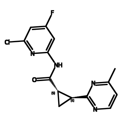 Cc1ccnc([C@H]2C[C@@H]2C(=O)Nc2cc(F)cc(Cl)n2)n1